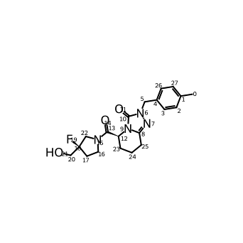 Cc1ccc(Cn2nc3n(c2=O)[C@H](C(=O)N2CC[C@](F)(CO)C2)CCC3)cc1